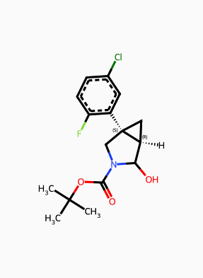 CC(C)(C)OC(=O)N1C[C@@]2(c3cc(Cl)ccc3F)C[C@H]2C1O